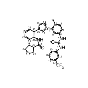 Cc1ccc(NC(=O)Nc2cccc(C(F)(F)F)c2)cc1-n1cc(C2C=NC=CC2NC(=O)C2CCOC2)cn1